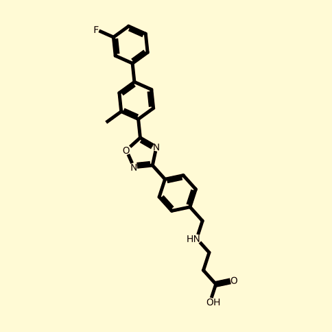 Cc1cc(-c2cccc(F)c2)ccc1-c1nc(-c2ccc(CNCCC(=O)O)cc2)no1